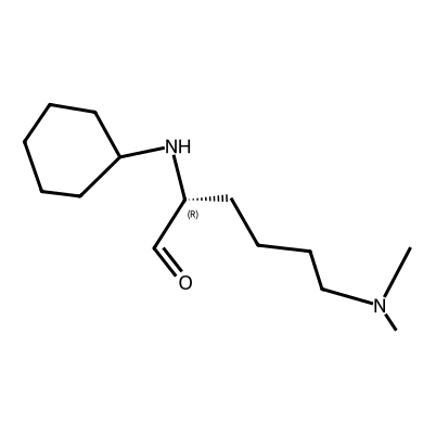 CN(C)CCCC[C@H](C=O)NC1CCCCC1